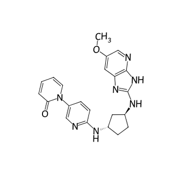 COc1cnc2[nH]c(N[C@H]3CC[C@H](Nc4ccc(-n5ccccc5=O)cn4)C3)nc2c1